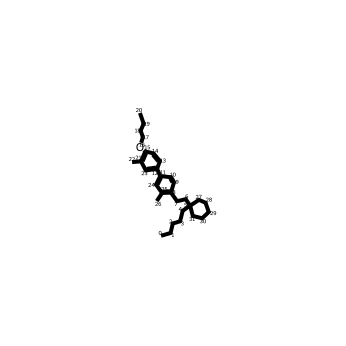 CCCCCC1(CCc2ccc(-c3ccc(OCCCC)c(C)c3)cc2C)CCCCC1